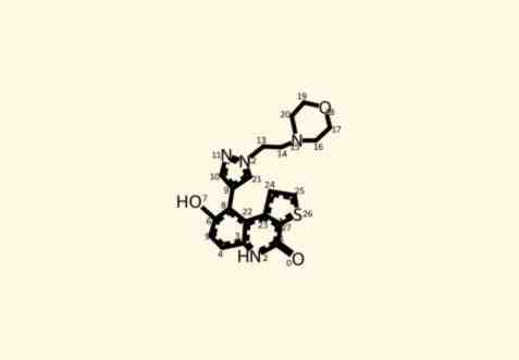 O=c1[nH]c2ccc(O)c(-c3cnn(CCN4CCOCC4)c3)c2c2ccsc12